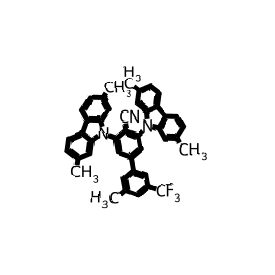 Cc1cc(-c2cc(-n3c4cc(C)ccc4c4ccc(C)cc43)c(C#N)c(-n3c4cc(C)ccc4c4ccc(C)cc43)c2)cc(C(F)(F)F)c1